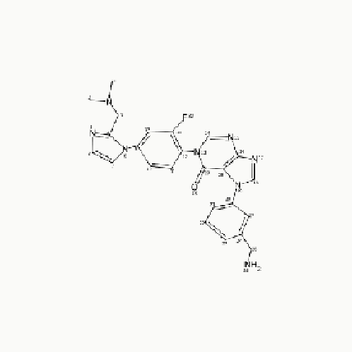 CN(C)Cc1nccn1-c1ccc(-n2cnc3ncn(-c4cccc(CN)c4)c3c2=O)c(F)c1